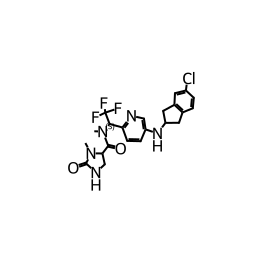 CN1C(=O)NCC1C(=O)N(C)[C@@H](c1ccc(NC2Cc3ccc(Cl)cc3C2)cn1)C(F)(F)F